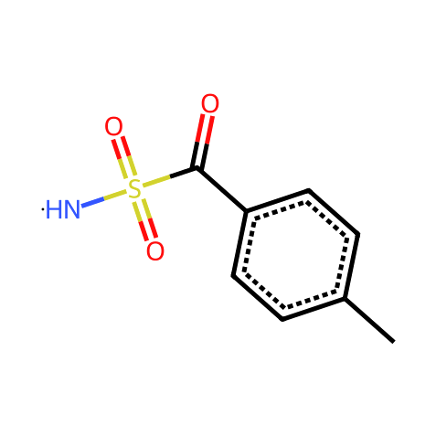 Cc1ccc(C(=O)S([NH])(=O)=O)cc1